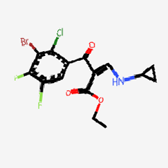 CCOC(=O)C(=CNC1CC1)C(=O)c1cc(F)c(F)c(Br)c1Cl